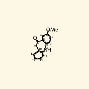 COc1ccc2c(c1)C(=O)Cc1ccccc1N2